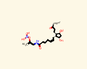 CCCCCCCC(=O)CC[C@@H]1[C@@H](C/C=C\CCCC(=O)NCC(C)ON(O)O)[C@@H](O)C[C@H]1O